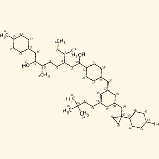 CCC(C)C(CCC(C)C(O)CC1CCC(C)CC1)CC(O)C1CCC(C[C@@H]2C=C(CCC(C)(C)C)CC(CC3(C4CCC(I)CC4)CC3)C2)CC1